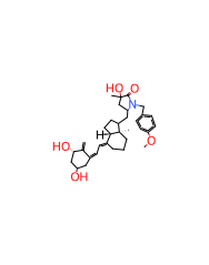 C=C1/C(=C\C=C2/CCC[C@]3(C)C(CC4CC(C)(O)C(=O)N4Cc4ccc(OC)cc4)CC[C@@H]23)C[C@@H](O)C[C@@H]1O